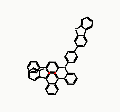 c1ccc(-c2ccc(N(c3ccc(-c4ccc5c(c4)oc4ccccc45)cc3)c3ccccc3-c3cc4oc5ccccc5c4c4ccccc34)cc2)cc1